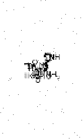 CCOC(=O)Nc1nc(C2CNCCS2)cc(N)[n+]1OS(=O)(=O)O.[OH-]